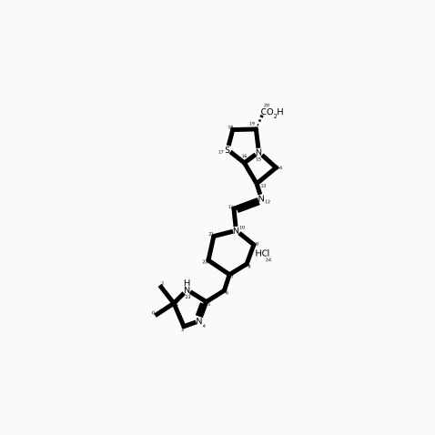 CC1(C)CN=C(CC2CCN(C=NC3CN4C3SC[C@@H]4C(=O)O)CC2)N1.Cl